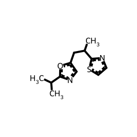 CC(C)c1ncc(CC(C)c2nccs2)o1